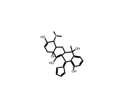 CN(C)C1C(O)=CCC2(O)C(O)=C3C(=C4C=CC=C4)c4c(O)cccc4C(C)(O)C3CC12